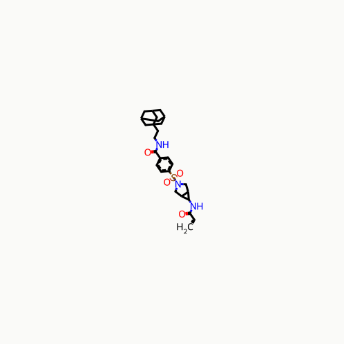 C=CC(=O)NC1C2CN(S(=O)(=O)c3ccc(C(=O)NCCC45CC6CC(CC(C6)C4)C5)cc3)CC21